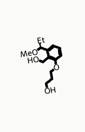 CC[C@H](OC)c1cccc(OCCCO)c1CO